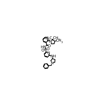 CC1CCN(c2ncccc2C(=O)NS(=O)(=O)c2cccc(NC3CCN(Cc4ccccc4)C3)n2)C1(C)C